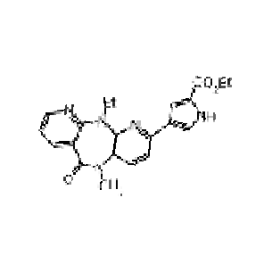 CCOC(=O)c1cc(-c2ccc3c(n2)N(CC)c2ncccc2C(=O)N3C)c[nH]1